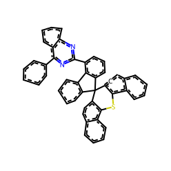 c1ccc(-c2nc(-c3cccc4c3-c3ccccc3C43c4ccc5ccccc5c4Sc4c3ccc3ccccc43)nc3ccccc23)cc1